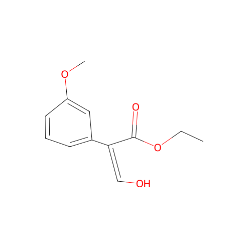 CCOC(=O)C(=CO)c1cccc(OC)c1